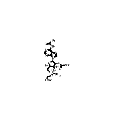 B[PH]1(OCOC(C)=O)OC[C@H]2O[C@@H](n3cnc4c(NC(=O)CCC)ncnc43)[C@@H](OC(=O)CCC)[C@H]2O1